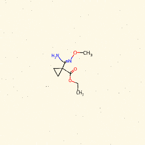 CCOC(=O)C1(/C(N)=N/OC)CC1